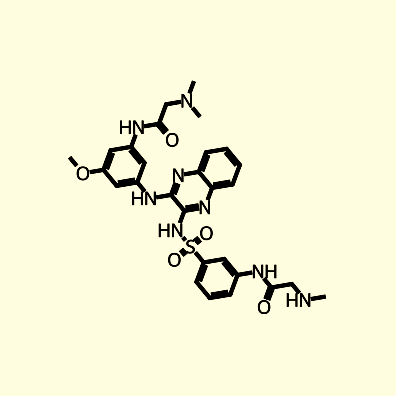 CNCC(=O)Nc1cccc(S(=O)(=O)Nc2nc3ccccc3nc2Nc2cc(NC(=O)CN(C)C)cc(OC)c2)c1